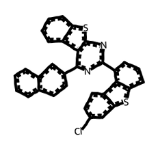 Clc1ccc2c(c1)sc1cccc(-c3nc(-c4ccc5ccccc5c4)c4c(n3)sc3ccccc34)c12